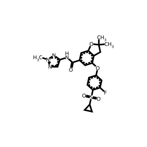 Cn1ncc(NC(=O)c2cc(Oc3ccc(S(=O)(=O)C4CC4)c(F)c3)c3c(c2)OC(C)(C)C3)n1